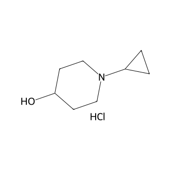 Cl.OC1CCN(C2CC2)CC1